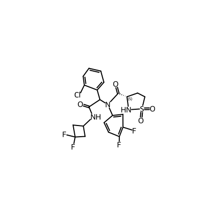 O=C(NC1CC(F)(F)C1)C(c1ccccc1Cl)N(C(=O)[C@@H]1CCS(=O)(=O)N1)c1ccc(F)c(F)c1